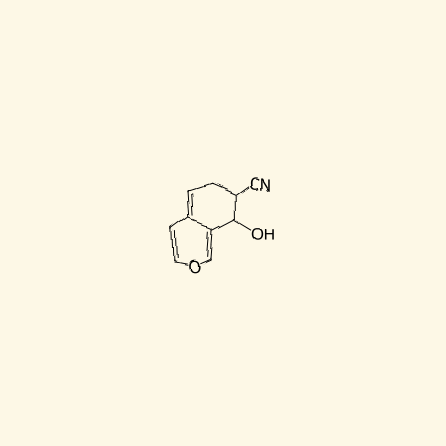 N#CC1CC=C2C=COC=C2C1O